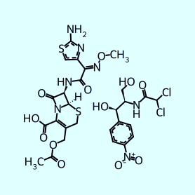 CO/N=C(/C(=O)N[C@@H]1C(=O)N2C(C(=O)O)=C(COC(C)=O)CS[C@H]12)c1csc(N)n1.O=C(N[C@H](CO)[C@H](O)c1ccc([N+](=O)[O-])cc1)C(Cl)Cl